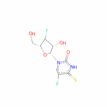 O=c1[nH]c(=S)c(F)cn1[C@@H]1O[C@H](CO)C(F)[C@@H]1O